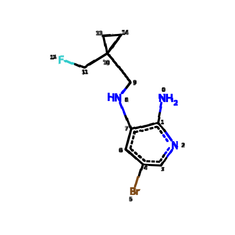 Nc1ncc(Br)cc1NCC1(CF)CC1